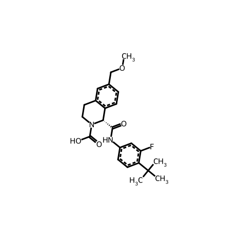 COCc1ccc2c(c1)CCN(C(=O)O)[C@H]2C(=O)Nc1ccc(C(C)(C)C)c(F)c1